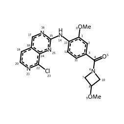 COc1cc(C(=O)N2CC(OC)C2)ccc1Nc1ncc2ccnc(Cl)c2n1